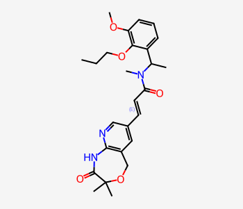 CCCOc1c(OC)cccc1C(C)N(C)C(=O)/C=C/c1cnc2c(c1)COC(C)(C)C(=O)N2